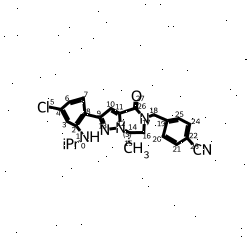 CC(C)Nc1cc(Cl)ccc1-c1cc2n(n1)[C@@H](C)CN(Cc1ccc(C#N)cc1)C2=O